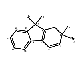 CC1(Br)C=CC2=C(C1)C(C)(C)c1ccccc12